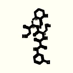 CC(C)(C)C[C@H](NC(=O)C(=O)Nc1cccc(Cl)c1)C(=O)N[C@@H](C[C@@H]1CCCNC1=O)C(=O)CO